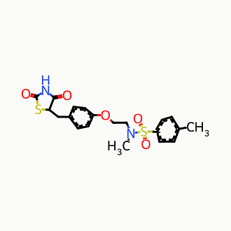 Cc1ccc(S(=O)(=O)N(C)CCOc2ccc(CC3SC(=O)NC3=O)cc2)cc1